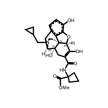 COC(=O)C1(NC(=O)C2=C(O)[C@@H]3Oc4c(O)ccc5c4[C@@]34CCN(CC3CC3)[C@H](C5)[C@]4(O)C2)CCC1